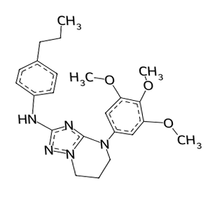 CCCc1ccc(Nc2nc3n(n2)CCCN3c2cc(OC)c(OC)c(OC)c2)cc1